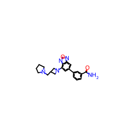 NC(=O)c1cccc(-c2cc(N3CC(CN4CCCC4)C3)c3nonc3c2)c1